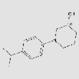 CC(C)c1ccc(N2CCC[C@@H](O)C2)cc1